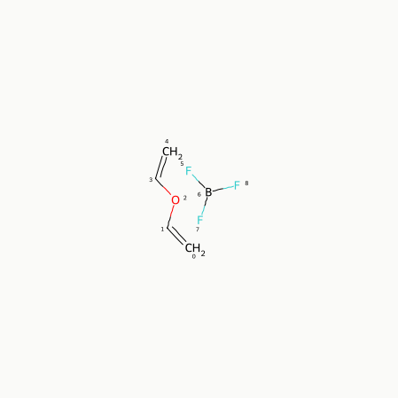 C=COC=C.FB(F)F